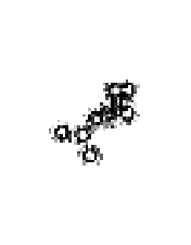 c1ccc(-c2cc(-c3ccccc3)cc(-c3ccc4nc5c(nc4c3)c3ccccc3n5-c3cccc4ccccc34)c2)cc1